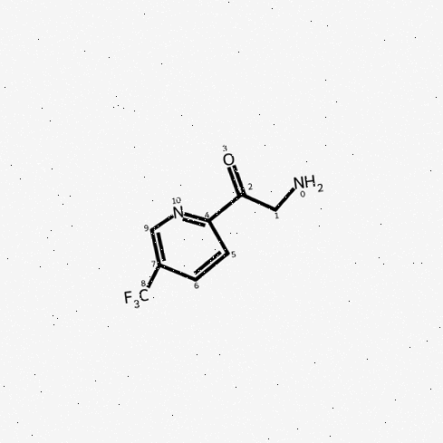 NCC(=O)c1ccc(C(F)(F)F)cn1